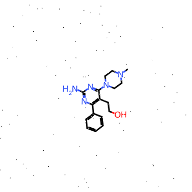 CN1CCN(c2nc(N)nc(-c3ccccc3)c2CCO)CC1